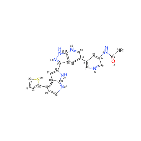 CC(C)C(=O)Nc1cncc(-c2cnc3[nH]nc(-c4cc5c(-c6cccs6)ccnc5[nH]4)c3c2)c1